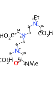 CCN(CCN(CCN(CC(=O)O)CC(=O)NC)CC(=O)O)CC(=O)O